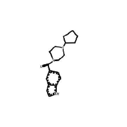 O=C(c1ccc2[nH]ccc2c1)N1CCN(C2CCCC2)CC1